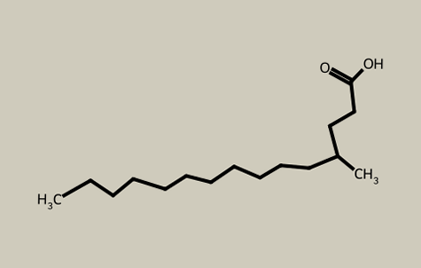 CCCCCCCCCCCC(C)CCC(=O)O